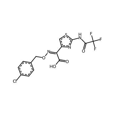 O=C(O)C(=NOCc1ccc(Cl)cc1)c1csc(NC(=O)C(F)(F)F)n1